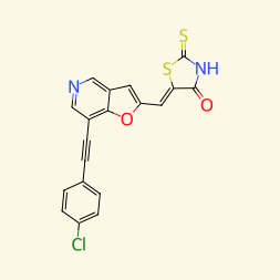 O=C1NC(=S)S/C1=C\c1cc2cncc(C#Cc3ccc(Cl)cc3)c2o1